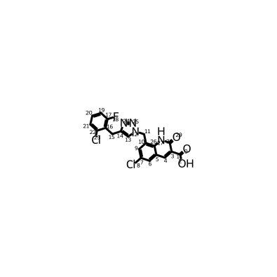 O=C(O)c1cc2cc(Cl)cc(Cn3cc(Cc4c(F)cccc4Cl)nn3)c2[nH]c1=O